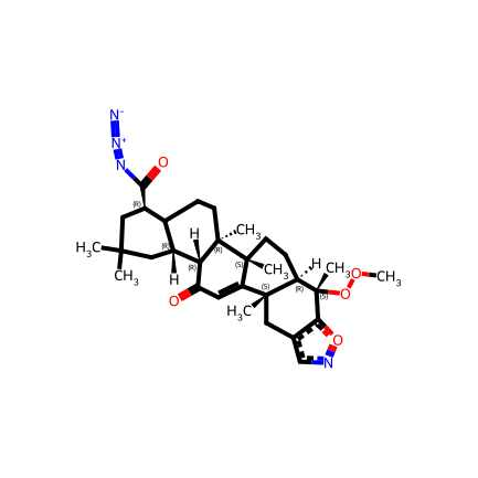 COO[C@]1(C)c2oncc2C[C@]2(C)C3=CC(=O)[C@@H]4[C@@H]5CC(C)(C)C[C@@H](C(=O)N=[N+]=[N-])C5CC[C@@]4(C)[C@]3(C)CC[C@H]21